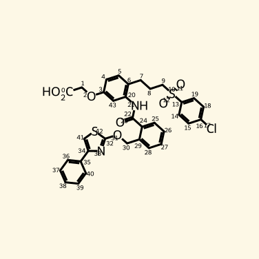 O=C(O)COc1ccc(CCCS(=O)(=O)c2ccc(Cl)cc2)c(NC(=O)c2ccccc2COc2nc(-c3ccccc3)cs2)c1